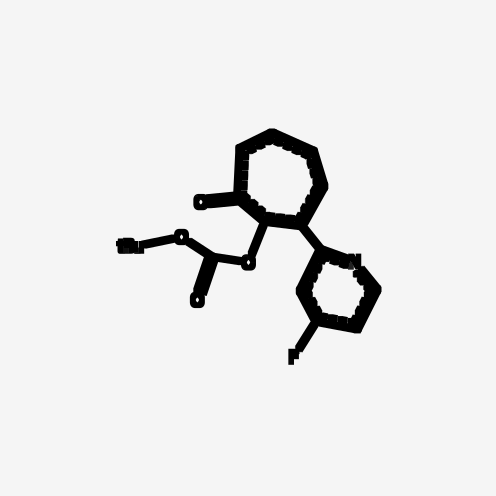 CC(C)(C)OC(=O)Oc1c(-c2cc(F)ccn2)ccccc1=O